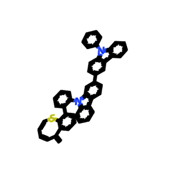 C=C1/C=C\C=C/Sc2c1cccc2-c1ccccc1-n1c2ccccc2c2ccc(-c3ccc4c(c3)c3ccccc3n4-c3ccccc3)cc21